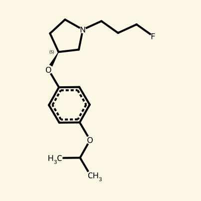 CC(C)Oc1ccc(O[C@H]2CCN(CCCF)C2)cc1